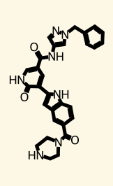 O=C(Nc1cnn(Cc2ccccc2)c1)c1c[nH]c(=O)c(-c2cc3cc(C(=O)N4CCNCC4)ccc3[nH]2)c1